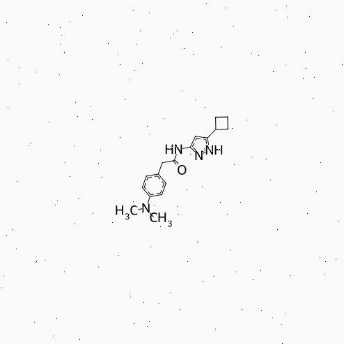 CN(C)c1ccc(CC(=O)Nc2cc(C3CCC3)[nH]n2)cc1